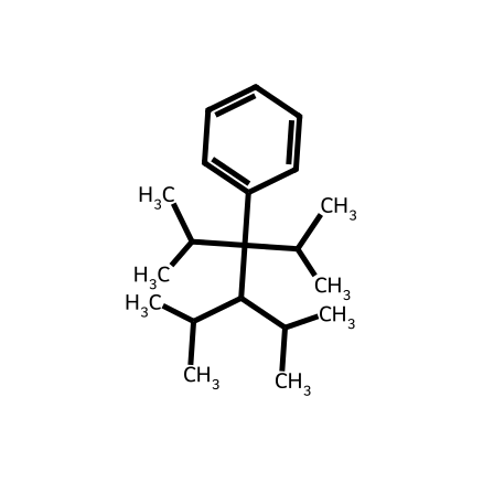 CC(C)C(C(C)C)C(c1ccccc1)(C(C)C)C(C)C